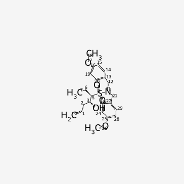 C=CC[C@H](O)[C@@H](CC)S(=O)(=O)N(Cc1ccc(OC)cc1)Cc1ccc(OC)cc1